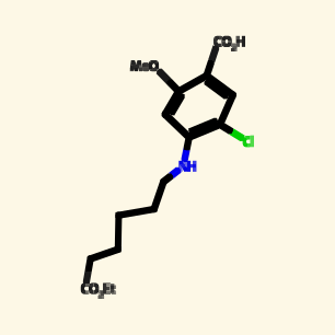 CCOC(=O)CCCCCNc1cc(OC)c(C(=O)O)cc1Cl